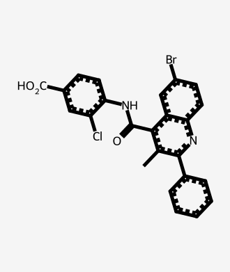 Cc1c(-c2ccccc2)nc2ccc(Br)cc2c1C(=O)Nc1ccc(C(=O)O)cc1Cl